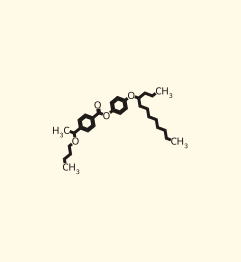 CCCCCCCCC(CCC)Oc1ccc(OC(=O)c2ccc(C(C)OCCCC)cc2)cc1